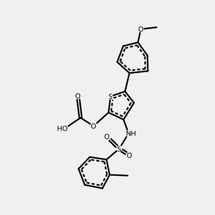 COc1ccc(-c2cc(NS(=O)(=O)c3ccccc3C)c(OC(=O)O)s2)cc1